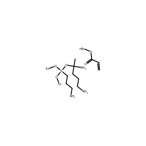 C=CC(=O)OCCCC.CCO[Si](CCCN)(OCC)OC(C)(N)CCCN